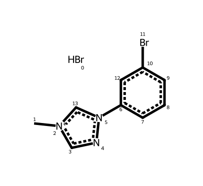 Br.C[n+]1cnn(-c2cccc(Br)c2)c1